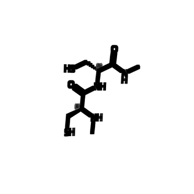 CNC(=O)[C@@H](CS)NC(=O)[C@H](CS)NC